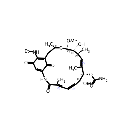 CCNC1=C2C[C@@H](C)C[C@H](OC)[C@H](O)[C@@H](C)/C=C(\C)[C@H](OC(N)=O)[C@H](OC)/C=C\C=C(/C)C(=O)NC(=CC1=O)C2=O